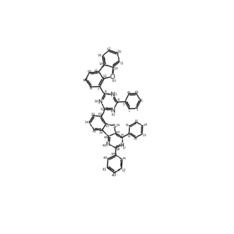 c1ccc(-c2nc(-c3cccc4c3oc3ccccc34)nc(-c3cccc4c3sc3c(-c5ccccc5)nc(-c5ccccc5)nc34)n2)cc1